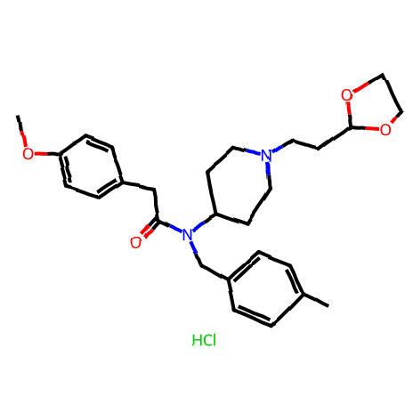 COc1ccc(CC(=O)N(Cc2ccc(C)cc2)C2CCN(CCC3OCCO3)CC2)cc1.Cl